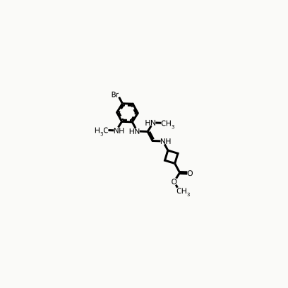 CN/C(=C\NC1CC(C(=O)OC)C1)Nc1ccc(Br)cc1NC